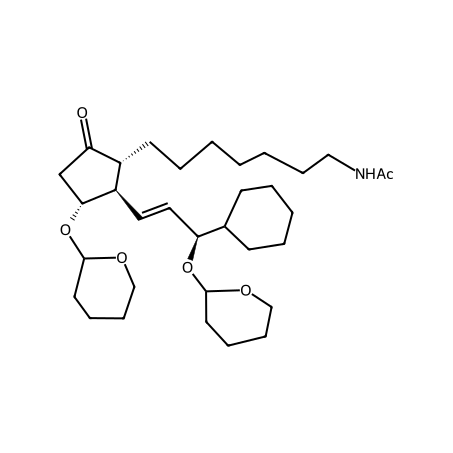 CC(=O)NCCCCCCC[C@H]1C(=O)C[C@@H](OC2CCCCO2)[C@@H]1/C=C/[C@H](OC1CCCCO1)C1CCCCC1